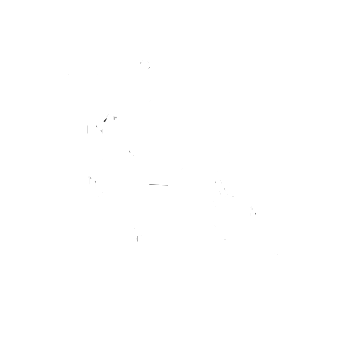 CC(C)C1=Nc2c(F)cc(-c3nc(N[C@@H]4CCOC[C@H]4O)ncc3Cl)cc2C12CCCC2